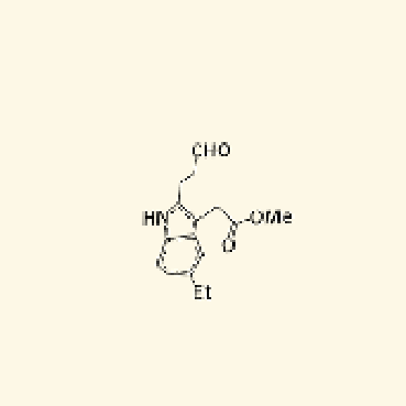 CCc1ccc2[nH]c(CCC=O)c(CC(=O)OC)c2c1